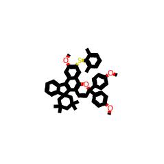 COc1ccc(C2(c3ccc(OC)cc3)C=Cc3c4c(c5cc(OC)c(Sc6c(C)cccc6C)cc5c3O2)-c2ccccc2C42CC(C)(C)CC(C)(C)C2)cc1